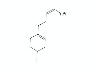 CCC/C=C\CCC1=CCC(I)CC1